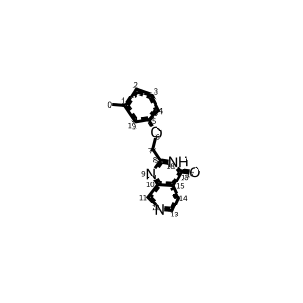 Cc1cccc(OCc2nc3cnccc3c(=O)[nH]2)c1